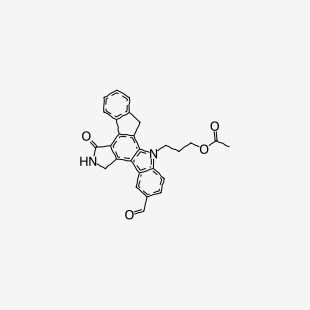 CC(=O)OCCCn1c2ccc(C=O)cc2c2c3c(c4c(c21)Cc1ccccc1-4)C(=O)NC3